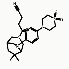 CC1(C)CC2CN(C(=O)CCC#N)CC1N(c1ccc(N3CCS(=O)(=O)CC3)cc1)C2